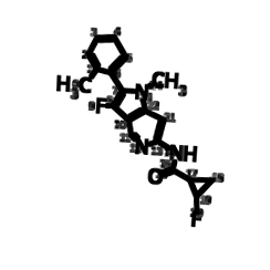 Cc1ccccc1-c1c(F)c2cnc(NC(=O)C3CC3F)cc2n1C